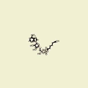 C#CCCCCC(=O)OP(=O)(O)OP(=O)(O)OC[C@H]1O[C@@H](n2cnc3c(N)ncnc32)C(O)C1O